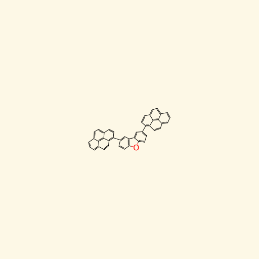 c1cc2ccc3ccc(-c4ccc5oc6ccc(-c7ccc8ccc9cccc%10ccc7c8c9%10)cc6c5c4)c4ccc(c1)c2c34